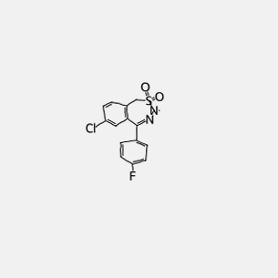 O=S1(=O)Cc2ccc(Cl)cc2C(c2ccc(F)cc2)=N[N]1